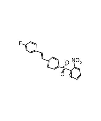 O=[N+]([O-])c1cccnc1S(=O)(=O)c1ccc(C=Cc2ccc(F)cc2)cc1